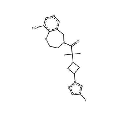 CC(C)(C(=O)N1CCOc2c(C#N)cncc2C1)C1CC(n2cc(F)cn2)C1